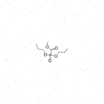 CCCOP(=O)(OCCC)C(=O)OC